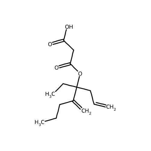 C=CCC(CC)(OC(=O)CC(=O)O)C(=C)CCC